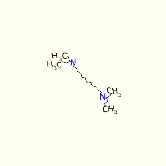 CCCC(CC)=NCCCCCCCCCCCCN=C(CC)CCC